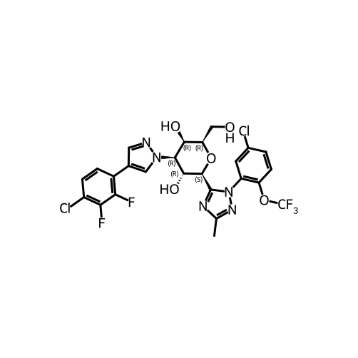 Cc1nc([C@@H]2O[C@H](CO)[C@H](O)[C@H](n3cc(-c4ccc(Cl)c(F)c4F)cn3)[C@H]2O)n(-c2cc(Cl)ccc2OC(F)(F)F)n1